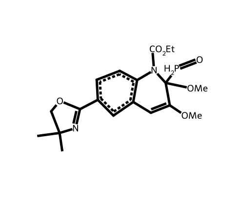 CCOC(=O)N1c2ccc(C3=NC(C)(C)CO3)cc2C=C(OC)C1(OC)[PH2]=O